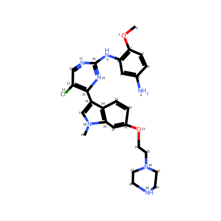 COc1ccc(N)cc1Nc1ncc(Cl)c(-c2cn(C)c3cc(OCCN4CCNCC4)ccc23)n1